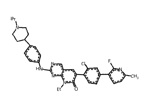 CCn1c(=O)c(-c2ccc(-c3ccc(C)nc3F)cc2Cl)cc2cnc(Nc3ccc(C4CCN(C(C)C)CC4)cc3)nc21